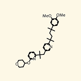 COc1ccc(C(C)(C)CCC(C)(C)c2ccc(CC(C)(C)c3cccc(OC4CCOCC4)n3)cn2)cc1OC